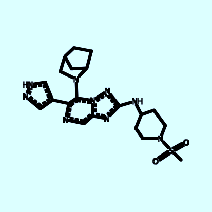 CS(=O)(=O)N1CCC(Nc2nc3cnc(-c4cn[nH]c4)c(N4CC5CCC4C5)n3n2)CC1